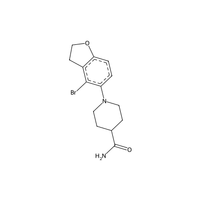 NC(=O)C1CCN(c2ccc3c(c2Br)CCO3)CC1